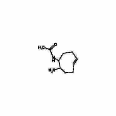 CC(=O)NC1CC/C=C/CCC1N